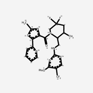 COc1nc(NCC2C(C)CC(F)(F)CN2C(=O)c2nc(C)sc2-c2ccccn2)ncc1C(F)(F)F